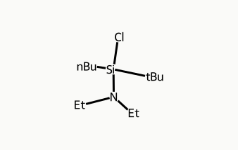 CCCC[Si](Cl)(N(CC)CC)C(C)(C)C